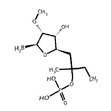 B[C@@H]1O[C@H](CC(C)(CC)OP(=O)(O)O)[C@@H](O)[C@H]1OC